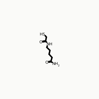 NC(=O)CCCCNC(=O)CS